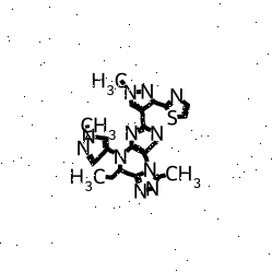 CCC1c2nnc(C)n2-c2cnc(-c3cn(C)nc3-c3nccs3)nc2N1c1cnn(C)c1